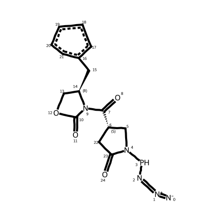 [N-]=[N+]=NPN1C[C@@H](C(=O)N2C(=O)OC[C@H]2Cc2ccccc2)CC1=O